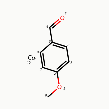 COc1ccc(C=O)cc1.[Cu]